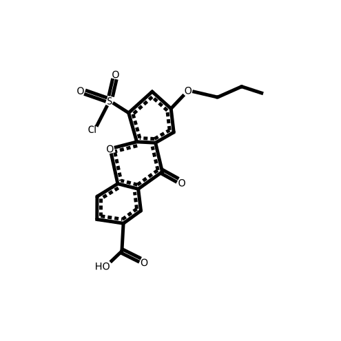 CCCOc1cc(S(=O)(=O)Cl)c2oc3ccc(C(=O)O)cc3c(=O)c2c1